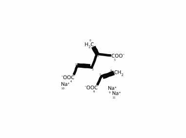 C=C(C=CC(=O)[O-])C(=O)[O-].C=CC(=O)[O-].[Na+].[Na+].[Na+]